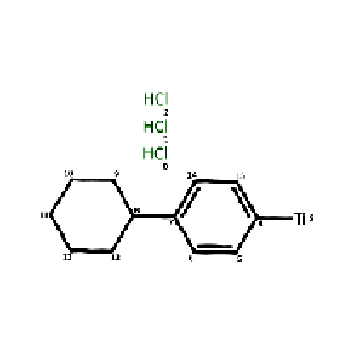 Cl.Cl.Cl.[Ti][c]1ccc(C2CCCCC2)cc1